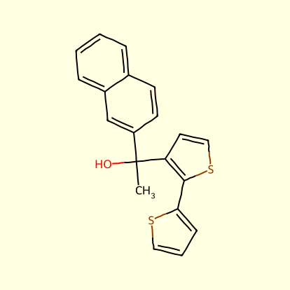 CC(O)(c1ccc2ccccc2c1)c1ccsc1-c1cccs1